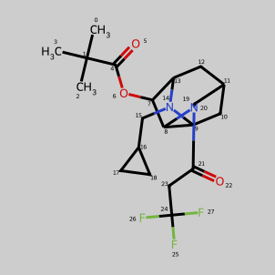 CC(C)(C)C(=O)OC1C2C3CC(CC1N3CC1CC1)CN2C(=O)CC(F)(F)F